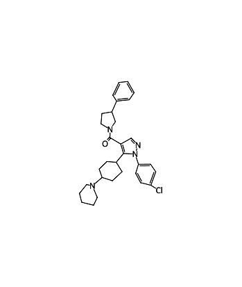 O=C(c1cnn(-c2ccc(Cl)cc2)c1C1CCC(N2CCCCC2)CC1)N1CCC(c2ccccc2)C1